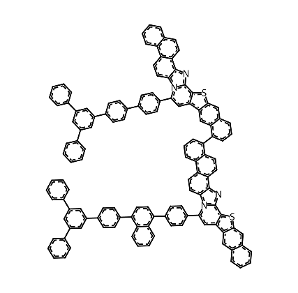 c1ccc(-c2cc(-c3ccccc3)cc(-c3ccc(-c4ccc(-c5cc6c7cc8c(-c9cccc%10c9ccc9c%10ccc%10c9nc9c%11sc%12cc%13ccccc%13cc%12c%11cc(-c%11ccc(-c%12ccc(-c%13ccc(-c%14cc(-c%15ccccc%15)cc(-c%15ccccc%15)c%14)cc%13)c%13ccccc%12%13)cc%11)n%109)cccc8cc7sc6c6nc7c8ccc9ccccc9c8ccc7n56)cc4)cc3)c2)cc1